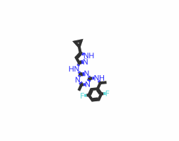 Cc1nc(Nc2cc(C3CC3)[nH]n2)nc(NC(C)c2cc(F)ccc2F)n1